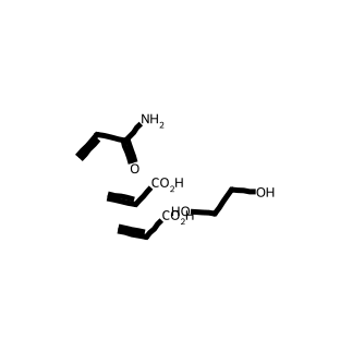 C=CC(=O)O.C=CC(=O)O.C=CC(N)=O.OCCO